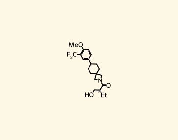 CC[C@H](CO)C(=O)N1CC2(CCC(c3ccc(OC)c(C(F)(F)F)c3)CC2)C1